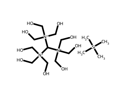 C[Si](C)(C)C.OC[N+](CO)(CO)C([N+](CO)(CO)CO)[N+](CO)(CO)CO